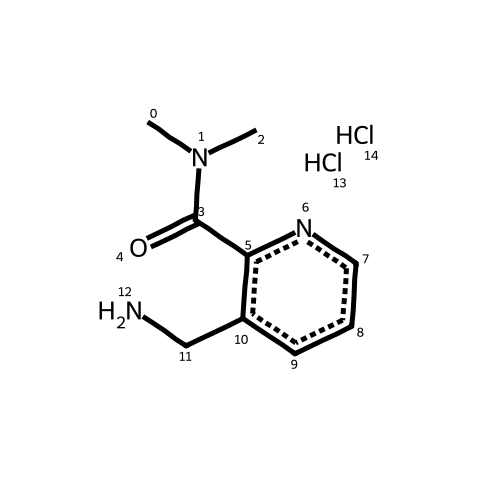 CN(C)C(=O)c1ncccc1CN.Cl.Cl